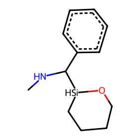 CNC(c1ccccc1)[SiH]1CCCCO1